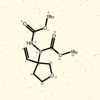 C=CC1(N(NC(=O)OC(C)(C)C)C(=O)OC(C)(C)C)CCOC1